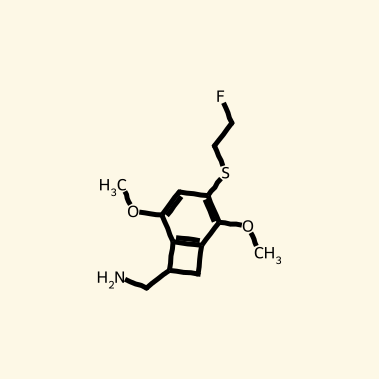 COc1cc(SCCF)c(OC)c2c1C(CN)C2